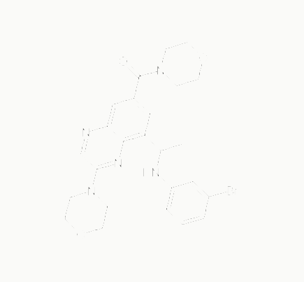 CC(Nc1cccc(Br)c1)c1cc(C(=O)N2CCOCC2)cc2ncc(N3CCOCC3)nc12